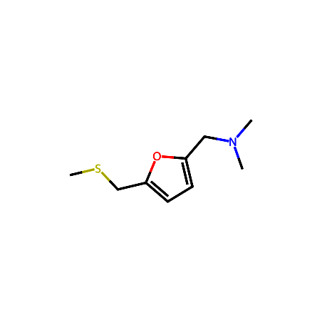 CSCc1ccc(CN(C)C)o1